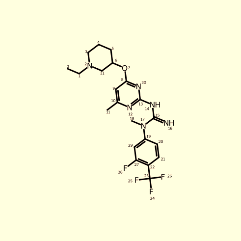 CCN1CCCC(Oc2cc(C)nc(NC(=N)N(C)c3ccc(C(F)(F)F)c(F)c3)n2)C1